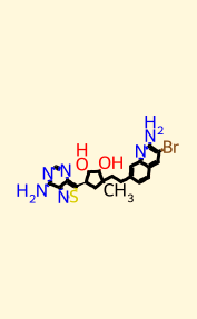 C[C@]1(CCc2ccc3cc(Br)c(N)nc3c2)C[C@@H](c2snc3c(N)ncnc23)[C@H](O)[C@@H]1O